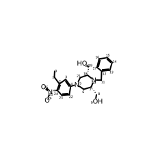 CCc1cc(N2C[C@@H](CO)N(Cc3ccccc3)[C@@H](CO)C2)ccc1[N+](=O)[O-]